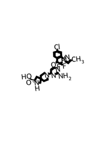 Cc1ccn(-c2cc(Cl)ccc2C(Oc2cc(N3CCC4(CC3)CN[C@@H](C(=O)O)C4)nc(N)n2)C(F)(F)F)n1